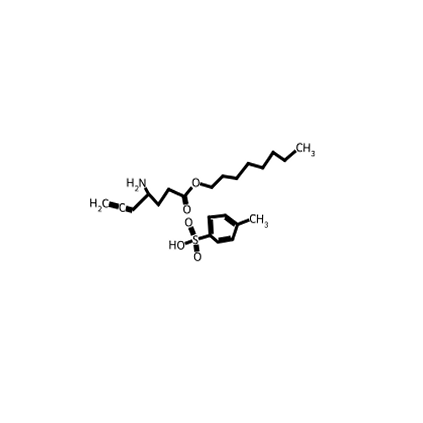 C=C=CC(N)CCC(=O)OCCCCCCCC.Cc1ccc(S(=O)(=O)O)cc1